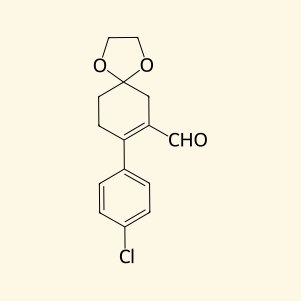 O=CC1=C(c2ccc(Cl)cc2)CCC2(C1)OCCO2